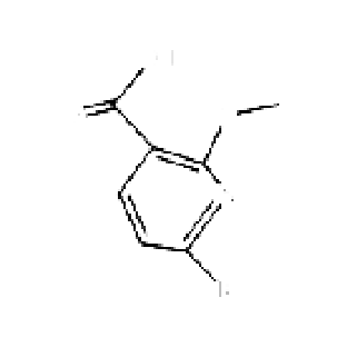 COc1nc(Br)ccc1C(=O)O